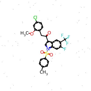 COc1cc(Cl)ccc1CC(=O)c1cn(S(=O)(=O)c2ccc(C)cc2)c2cc(F)c(C(F)(F)F)cc12